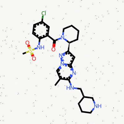 Cc1cn2nc([C@@H]3CCCCN3C(=O)c3cc(Cl)ccc3NS(C)(=O)=O)cc2nc1NCC1CCCNC1